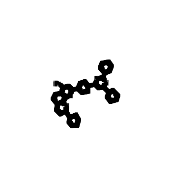 CC(C)c1cc(-c2ccc(-c3cc(-c4ccccc4)nc(-c4ccccc4)n3)cc2)nc2c1ccc1ccc(-c3ccccc3)nc12